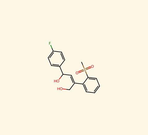 CS(=O)(=O)c1ccccc1C(=CC(O)c1ccc(F)cc1)CO